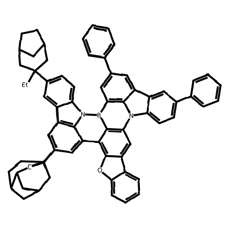 CCC1(c2ccc3c(c2)c2cc(C45CCC6CC(CC6C4)C5)cc4c2n3B2c3c(cc5c(oc6ccccc65)c3-4)-n3c4ccc(-c5ccccc5)cc4c4cc(-c5ccccc5)cc2c43)CC2CCC(C2)C1